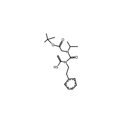 C=C(S)N(CCc1ccccc1)C(=O)N(CC(=O)OC(C)(C)C)C(C)C